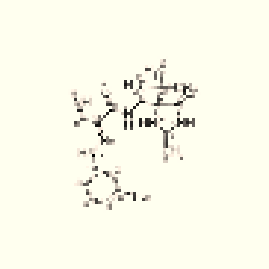 C=C1NC(=O)C(CNC(=O)/C(C=N)=N/Nc2cccc(F)c2)(C(C)(C)C)N1